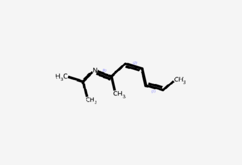 C\C=C/C=C\C(C)=N\C(C)C